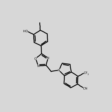 CC1CC=C(c2nc(Cn3ccc4c(C(F)(F)F)c(C#N)ccc43)no2)C=C1O